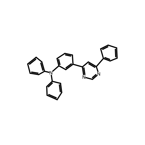 c1ccc(-c2cc(-c3cccc(N(c4ccccc4)c4ccccc4)c3)ncn2)cc1